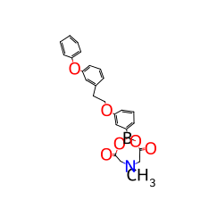 CN1CC(=O)OB(c2cccc(OCCc3cccc(Oc4ccccc4)c3)c2)OC(=O)C1